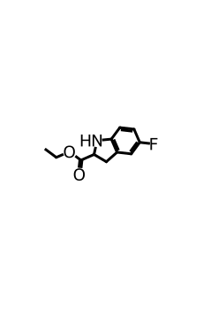 CCOC(=O)C1Cc2cc(F)ccc2N1